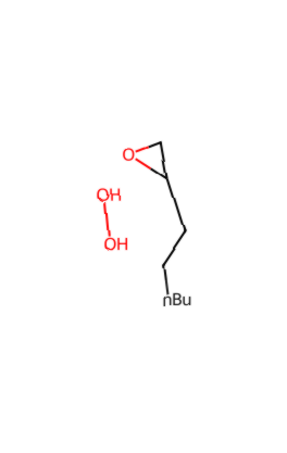 CCCCCCC1CO1.OO